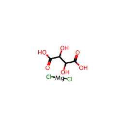 O=C(O)C(O)C(O)C(=O)O.[Cl][Mg][Cl]